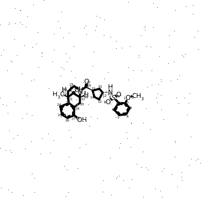 COc1ccccc1S(=O)(=O)N[C@@H]1CC[C@@H](C(=O)N2CC[C@@]3(C)c4cccc(O)c4C[C@@H]2C3(C)C)C1